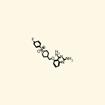 Nc1nc(N)c2c(OCC3CCN(S(=O)(=O)c4ccc(F)cc4)CC3)cccc2n1